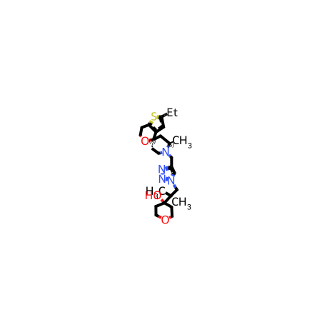 CCc1cc2c(s1)CCO[C@@]21CCN(Cc2cn(CC(C)(C)C3(O)CCOCC3)nn2)[C@@H](C)C1